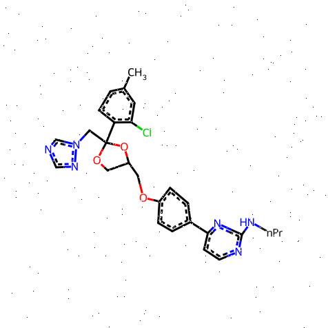 CCCNc1nccc(-c2ccc(OCC3COC(Cn4cncn4)(c4ccc(C)cc4Cl)O3)cc2)n1